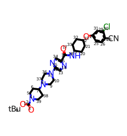 CC(C)(C)OC(=O)N1CCC(N2CCN(c3cnc(C(=O)N[C@H]4CC[C@H](Oc5ccc(C#N)c(Cl)c5)CC4)cn3)CC2)CC1